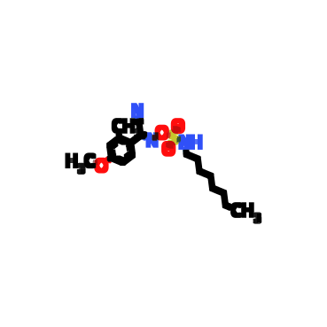 CCCCCCCCNS(=O)(=O)O/N=C(\C#N)c1ccc(OC)cc1C